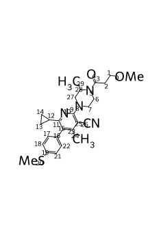 COCCC(=O)N1CCN(c2nc(C3CC3)c(-c3ccc(SC)cc3)c(C)c2C#N)CC1C